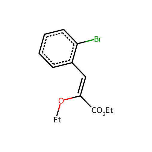 CCOC(=O)C(=Cc1ccccc1Br)OCC